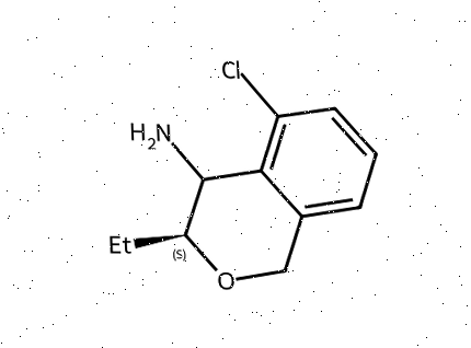 CC[C@@H]1OCc2cccc(Cl)c2C1N